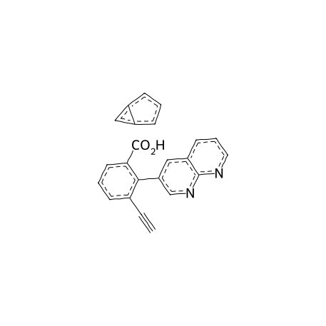 C#Cc1cccc(C(=O)O)c1-c1cnc2ncccc2c1.c1cc2cc-2c1